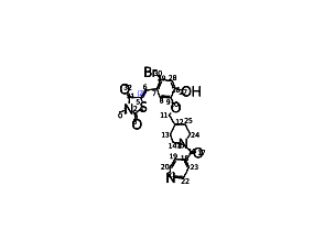 CN1C(=O)S/C(=C\c2cc(OCC3CCN(C(=O)c4ccncc4)CC3)c(O)cc2Br)C1=O